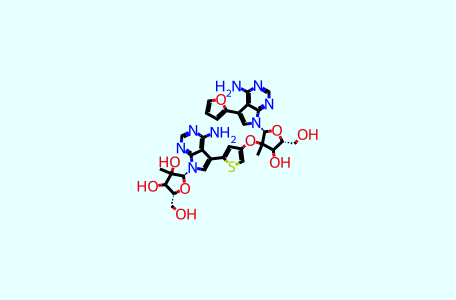 CC1(O)C(O)[C@@H](CO)O[C@H]1n1cc(-c2cc(OC3(C)C(O)[C@@H](CO)O[C@H]3n3cc(-c4ccco4)c4c(N)ncnc43)cs2)c2c(N)ncnc21